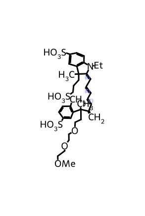 C=C(/C=C/C=C/C=C1/N(CC)c2ccc(S(=O)(=O)O)cc2C1(C)CCCS(=O)(=O)O)C(C)(CCOCCOCCOC)c1cc(S(=O)(=O)O)ccc1C